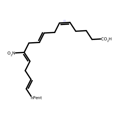 CCCCCC=CCC=C(CC=CC/C=C\CCCC(=O)O)[N+](=O)[O-]